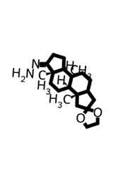 C[C@@]12CCC3CC4(C[C@]3(C)[C@H]1CC[C@]1(C)/C(=N\N)CC[C@@H]21)OCCO4